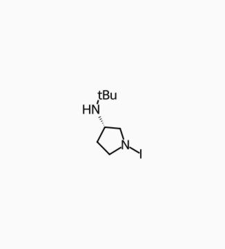 CC(C)(C)N[C@H]1CCN(I)C1